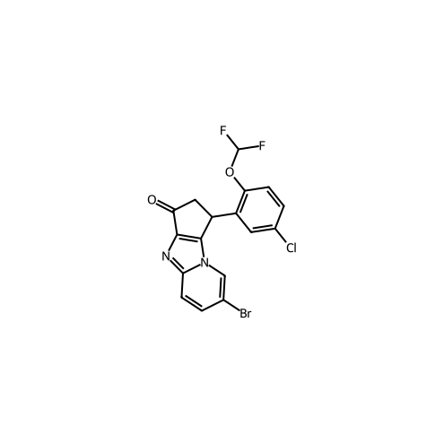 O=C1CC(c2cc(Cl)ccc2OC(F)F)c2c1nc1ccc(Br)cn21